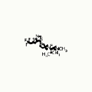 CC(C)[C@H](N1CC2(CCN(c3ncnc4sc(CC(F)(F)F)cc34)C2)C1)C1(F)CN(C)C1